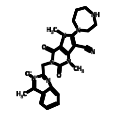 Cc1c2ccccc2nc(Cn2c(=O)c3c(c(C#N)c(N4CCCNCC4)n3C)n(C)c2=O)[n+]1[O-]